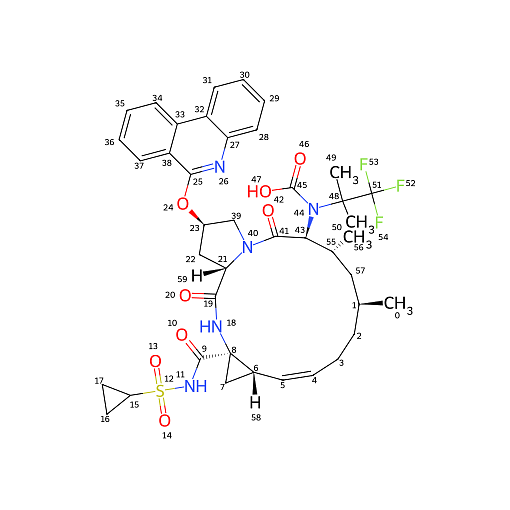 C[C@H]1CC/C=C\[C@@H]2C[C@@]2(C(=O)NS(=O)(=O)C2CC2)NC(=O)[C@@H]2C[C@@H](Oc3nc4ccccc4c4ccccc34)CN2C(=O)[C@@H](N(C(=O)O)C(C)(C)C(F)(F)F)[C@H](C)C1